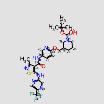 Cc1nsc(Nc2cnc(C(F)(F)F)cn2)c1C(=O)Nc1ccc(OCC2CCCN(C(O)OC(C)(C)C)C2)nc1